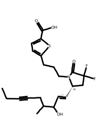 CCC#CCC(C)C(O)/C=C/[C@H]1CC(F)(F)C(=O)N1CCCc1ccc(C(=O)O)s1